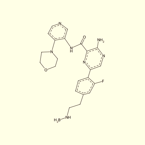 BNCCc1ccc(-c2cnc(N)c(C(=O)Nc3cnccc3N3CCOCC3)n2)c(F)c1